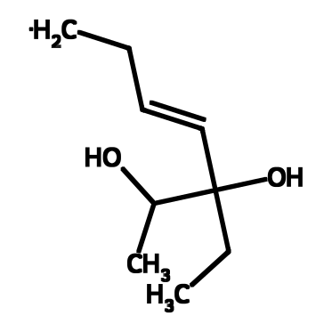 [CH2]CC=CC(O)(CC)C(C)O